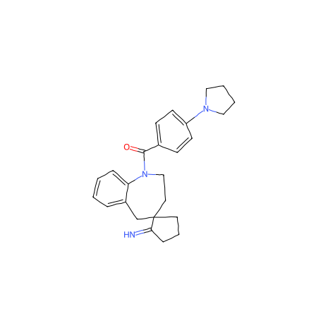 N=C1CCCC12CCN(C(=O)c1ccc(N3CCCC3)cc1)c1ccccc1C2